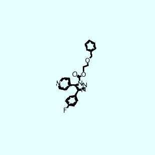 O=C(OCCOCc1ccccc1)n1nnc(-c2ccc(F)cc2)c1-c1ccncc1